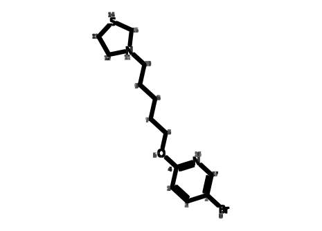 Brc1ccc(OCCCCCN2CCSC2)nc1